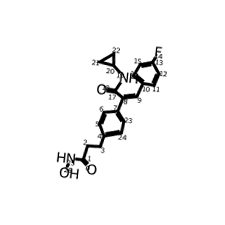 O=C(CCc1ccc(C(=Cc2ccc(F)cc2)C(=O)NC2CC2)cc1)NO